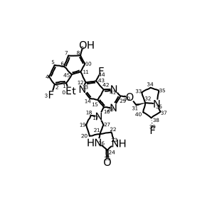 CCc1c(F)ccc2cc(O)cc(-c3ncc4c(N5CCCC6(CNC(=O)N6)C5)nc(OC[C@@]56CCCN5C[C@H](F)C6)nc4c3F)c12